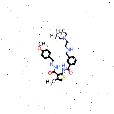 CCN(CC)CCNCc1cccc(C(=O)Nc2scc(C)c2C(=O)NN=Cc2ccc(OC)cc2)c1